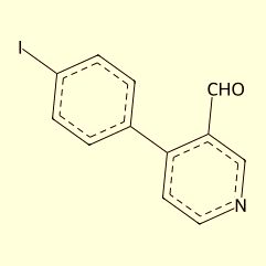 O=Cc1cnccc1-c1ccc(I)cc1